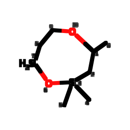 CC1C[Si](C)(C)O[SiH2]CCO1